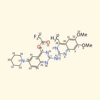 COc1cc2nc(Nc3nc(OC(=O)C(F)(F)F)c4cc(N5CCCCC5)ccc4n3)nc(C)c2cc1OC